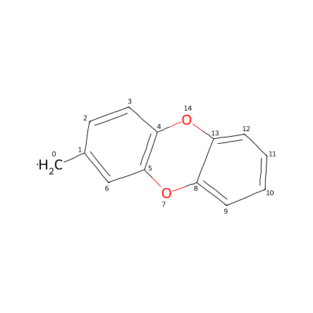 [CH2]c1ccc2c(c1)Oc1ccccc1O2